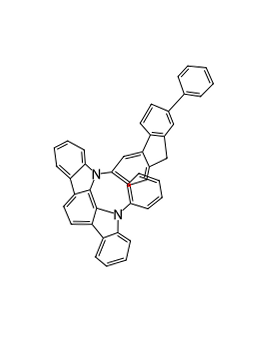 c1ccc(-c2ccc3c(c2)Cc2ccc(-n4c5ccccc5c5ccc6c7ccccc7n(-c7ccccc7)c6c54)cc2-3)cc1